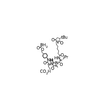 BC(=O)OCc1ccc(NC(=O)[C@H](CCC(=O)O)NC(=O)[C@H](C)NC(=O)[C@@H](CC(C)C)NC(=O)CCCCCN2C(=O)CC(C(C)(C)C)C2=O)cc1